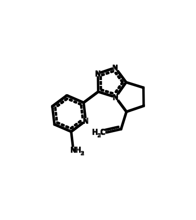 C=CC1CCc2nnc(-c3cccc(N)n3)n21